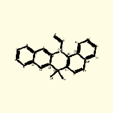 C=CN1c2cc3ccccc3cc2C(C)(C)c2ccc3ccccc3c21